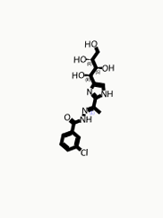 C/C(=N\NC(=O)c1cccc(Cl)c1)c1nc([C@@H](O)[C@H](O)[C@H](O)CO)c[nH]1